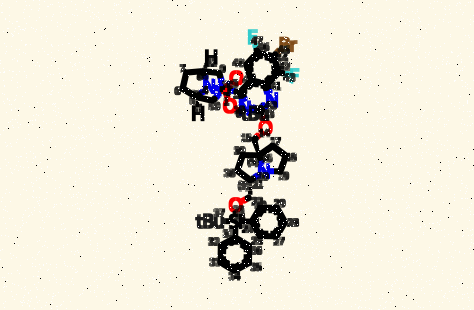 CC(C)(C)OC(=O)N1[C@@H]2CC[C@H]1CN(c1nc(OC[C@@]34CCCN3[C@H](CO[Si](c3ccccc3)(c3ccccc3)C(C)(C)C)CC4)nc3c(F)c(Br)c(F)cc13)C2